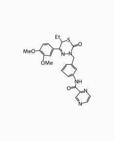 CCC1SC(=O)N(Cc2cccc(NC(=O)c3cnccn3)c2)N=C1c1ccc(OC)c(OC)c1